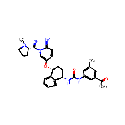 CNC(=O)c1cc(NC(=O)N[C@H]2CC[C@@H](Oc3ccc(=N)n(C(=N)[C@@H]4CCCN4C)c3)c3ccccc32)cc(C(C)(C)C)c1